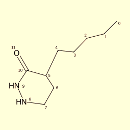 CCCCCC1CCNNC1=O